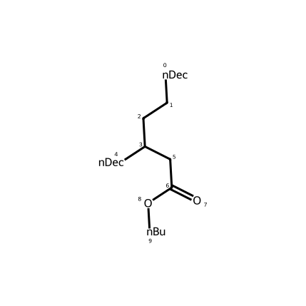 CCCCCCCCCCCCC(CCCCCCCCCC)CC(=O)OCCCC